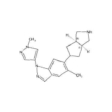 Cc1cc2cnn(-c3cnn(C)c3)c2cc1C1C[C@H]2CNC[C@H]2C1